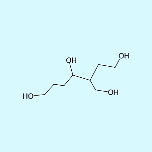 OCCCC(O)C(CO)CCO